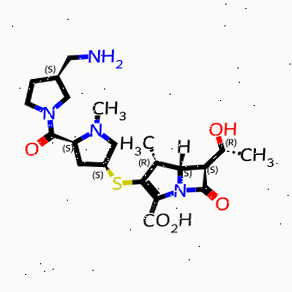 C[C@@H](O)[C@H]1C(=O)N2C(C(=O)O)=C(S[C@H]3C[C@@H](C(=O)N4CC[C@@H](CN)C4)N(C)C3)[C@H](C)[C@H]12